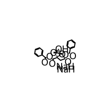 O=C(CC(C(=O)OC(=O)c1ccccc1)S(=O)(=O)O)OC(=O)c1ccccc1.[NaH].[NaH]